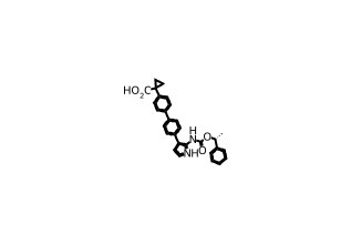 C[C@@H](OC(=O)Nc1[nH]ccc1-c1ccc(-c2ccc(C3(C(=O)O)CC3)cc2)cc1)c1ccccc1